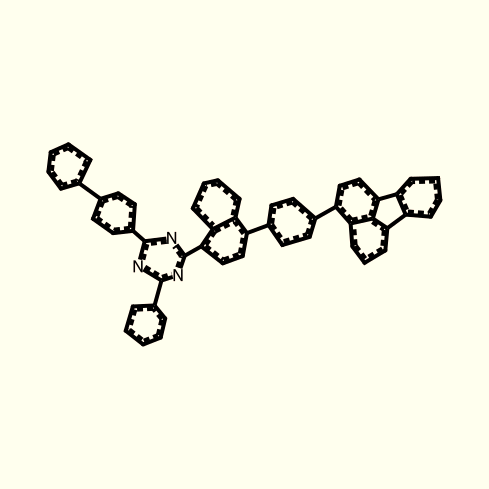 c1ccc(-c2ccc(-c3nc(-c4ccccc4)nc(-c4ccc(-c5ccc(-c6ccc7c8c(cccc68)-c6ccccc6-7)cc5)c5ccccc45)n3)cc2)cc1